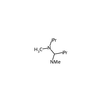 CNC(C(C)C)N(C)C(C)C